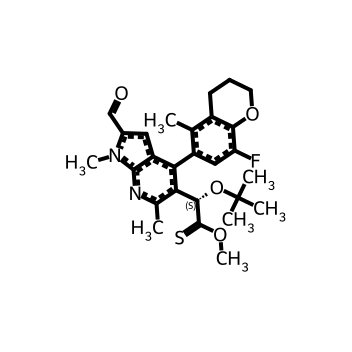 COC(=S)[C@@H](OC(C)(C)C)c1c(C)nc2c(cc(C=O)n2C)c1-c1cc(F)c2c(c1C)CCCO2